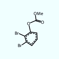 COC(=O)Oc1cccc(Br)c1Br